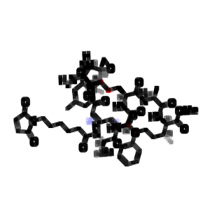 CC[C@H](C)[C@H](NC(=O)CCCCCN1C(=O)C=CC1=O)C(=O)N[C@@H](Cc1ccccc1)C(=O)N[C@@H](CCCNC(=N)N)C(=O)N[C@@H](C)C(=O)N[C@@H](C(=O)OC)[C@H](C)CCOC(=O)/C=C/C=C\C(=O)O[C@@H]1C[C@H]2OC3C=C(C)CC[C@]3(C)[C@]1(C)[C@]21CO1